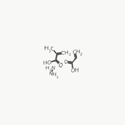 C=C(C)C(=O)O.C=CC(=O)O.NN